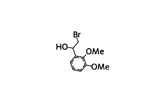 COc1cccc(C(O)CBr)c1OC